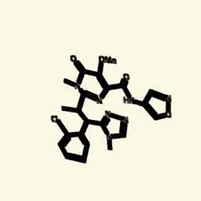 COc1c(C(=O)Nc2cnoc2)nc(C(C)C(c2ccccc2Cl)c2nncn2C)n(C)c1=O